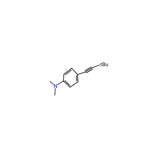 CN(C)c1ccc(C#CC(C)(C)C)cc1